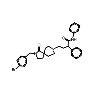 O=C(Nc1ccccc1)C(CCN1CCC2(CC1)CCN(Cc1ccc(Br)cc1)C2=O)c1ccccc1